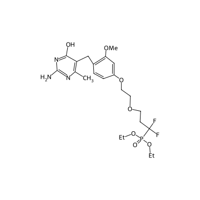 CCOP(=O)(OCC)C(F)(F)CCOCCOc1ccc(Cc2c(C)nc(N)nc2O)c(OC)c1